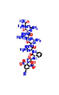 N#Cc1cc([N+](=O)[O-])c(NC(O)C(=O)NC(C(=O)NC(NC(=N)N)C(=O)NC(NC(=N)N)C(=O)NC(NC(=N)N)C(=O)NC(NC(=N)N)C(=O)NC(N)C(N)=O)c2ccccc2)c([N+](=O)[O-])c1